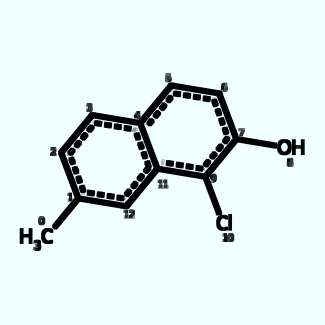 Cc1ccc2ccc(O)c(Cl)c2c1